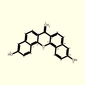 C=C1c2ccc3cc(O)ccc3c2Oc2c1ccc1cc(O)ccc21